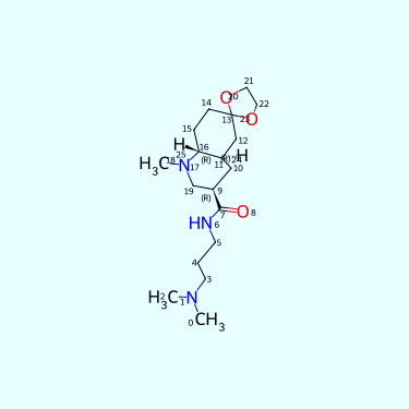 CN(C)CCCNC(=O)[C@@H]1C[C@@H]2CC3(CC[C@H]2N(C)C1)OCCO3